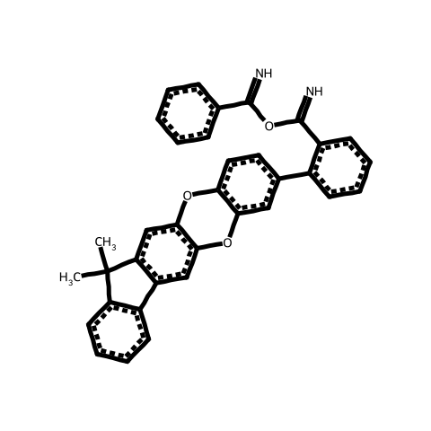 CC1(C)c2ccccc2-c2cc3c(cc21)Oc1ccc(-c2ccccc2C(=N)OC(=N)c2ccccc2)cc1O3